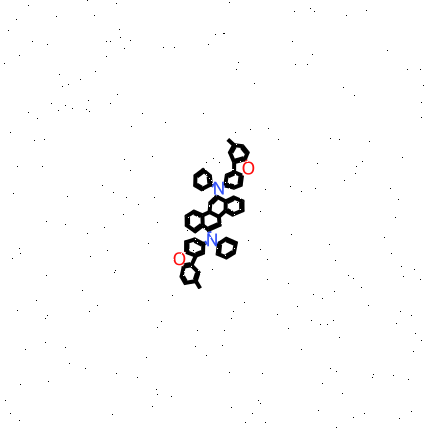 Cc1ccc2oc3ccc(N(C4=CC5c6ccccc6C(N(c6ccccc6)c6ccc7oc8ccc(C)cc8c7c6)=CC5c5ccccc54)c4ccccc4)cc3c2c1